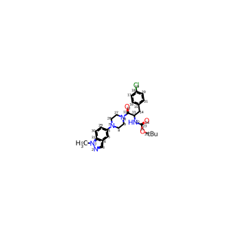 Cn1ncc2cc(N3CCN(C(=O)C(Cc4ccc(Cl)cc4)NC(=O)OC(C)(C)C)CC3)ccc21